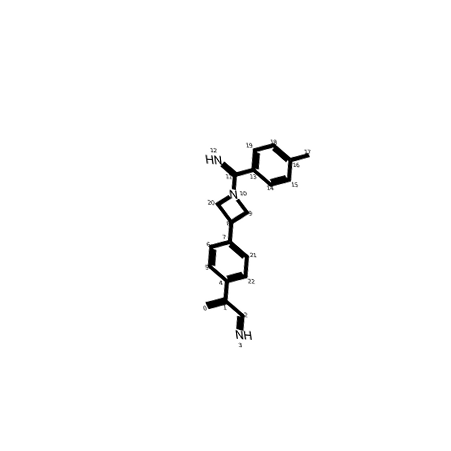 C=C(C=N)c1ccc(C2CN(C(=N)c3ccc(C)cc3)C2)cc1